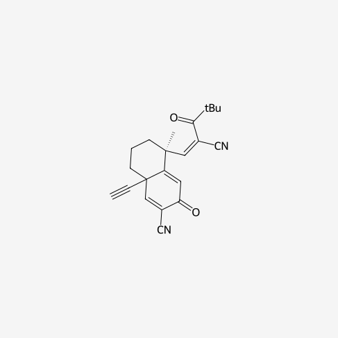 C#CC12C=C(C#N)C(=O)C=C1[C@](C)(/C=C(/C#N)C(=O)C(C)(C)C)CCC2